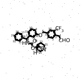 O=CCc1ccc(COc2cccc([C@@H](NC(=O)O[C@H]3CN4CCC3CC4)c3ccccc3)c2)cc1C(F)(F)F